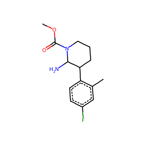 COC(=O)N1CCCC(c2ccc(F)cc2C)C1N